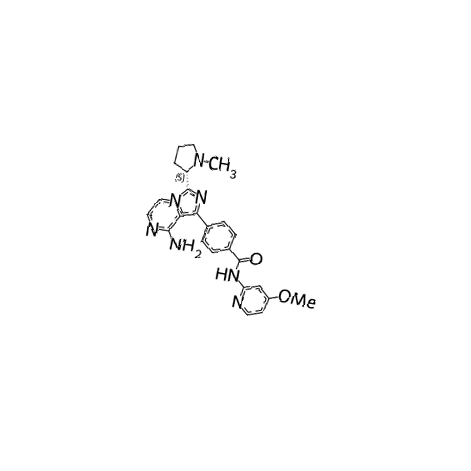 COc1ccnc(NC(=O)c2ccc(-c3nc([C@@H]4CCCN4C)n4ccnc(N)c34)cc2)c1